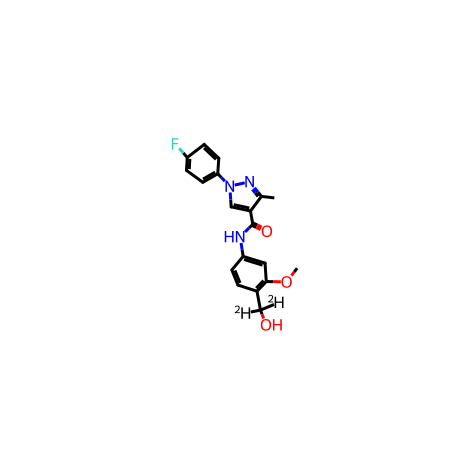 [2H]C([2H])(O)c1ccc(NC(=O)c2cn(-c3ccc(F)cc3)nc2C)cc1OC